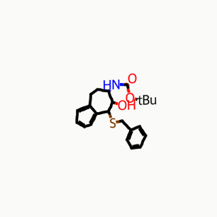 CC(C)(C)OC(=O)NC1CCc2ccccc2C(SCc2ccccc2)C1O